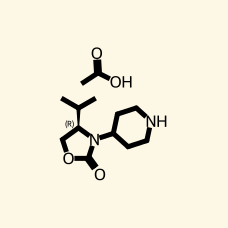 CC(=O)O.CC(C)[C@@H]1COC(=O)N1C1CCNCC1